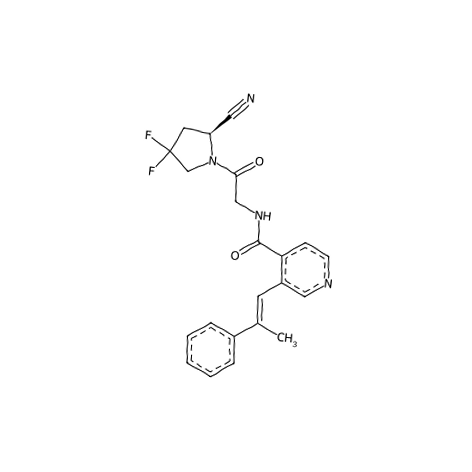 C/C(=C\c1cnccc1C(=O)NCC(=O)N1CC(F)(F)C[C@H]1C#N)c1ccccc1